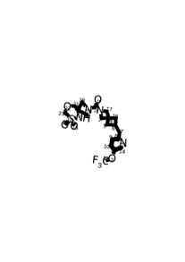 O=C(N1CC2(CC(Cc3ccc(OC(F)(F)F)cn3)C2)C1)N1CC2(COCS(=O)(=O)N2)C1